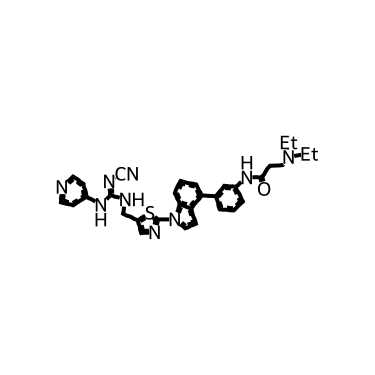 CCN(CC)CCC(=O)Nc1cccc(-c2cccc3c2ccn3-c2ncc(CN/C(=N\C#N)Nc3ccncc3)s2)c1